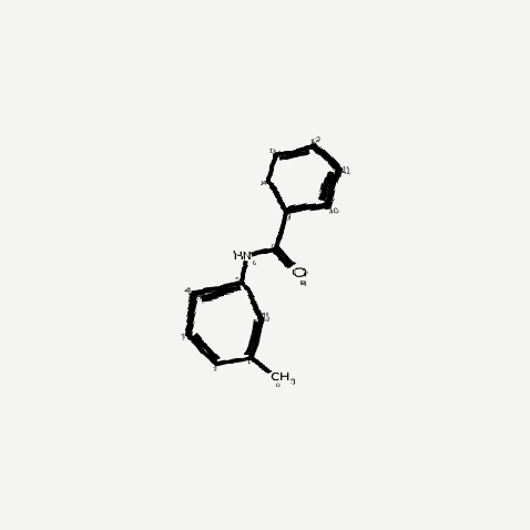 Cc1cccc(NC(=O)C2C=CC=CC2)c1